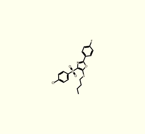 CCCCSc1oc(-c2ccc(F)cc2)nc1S(=O)(=O)c1ccc(Cl)cc1